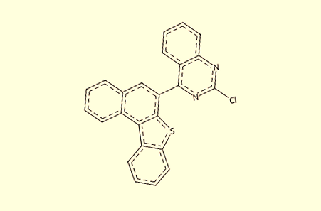 Clc1nc(-c2cc3ccccc3c3c2sc2ccccc23)c2ccccc2n1